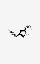 O=[N+]([O-])c1cc(N=C=S)cs1